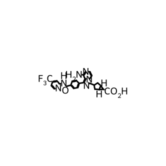 Nc1nccn2c(C3C[C@@H]4C(C(=O)O)[C@@H]4C3)nc(-c3ccc(C(=O)Nc4cc(C(F)(F)F)ccn4)cc3)c12